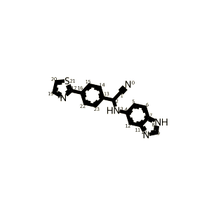 N#CC(Nc1ccc2[nH]cnc2c1)c1ccc(-c2nccs2)cc1